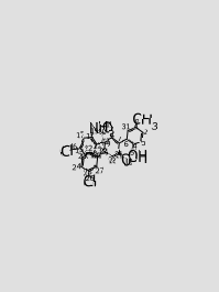 Cc1ccc(O)c(C2=C[C@](C=O)(c3ccc(Cl)cc3N)[C@H](c3cccc(Cl)c3)CC2=O)c1